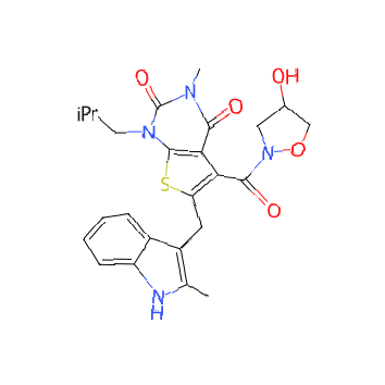 Cc1[nH]c2ccccc2c1Cc1sc2c(c1C(=O)N1CC(O)CO1)c(=O)n(C)c(=O)n2CC(C)C